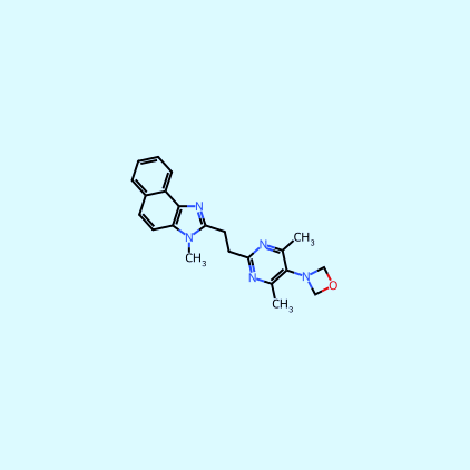 Cc1nc(CCc2nc3c4ccccc4ccc3n2C)nc(C)c1N1COC1